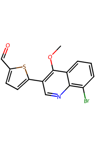 COc1c(-c2ccc(C=O)s2)cnc2c(Br)cccc12